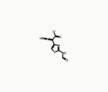 N=[N+]=C(C(=O)[O-])c1csc(NC=O)n1